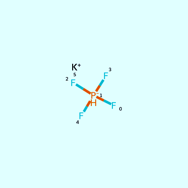 F[PH-](F)(F)F.[K+]